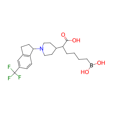 O=C(O)C(CCCCB(O)O)C1CCN(C2CCc3cc(C(F)(F)F)ccc32)CC1